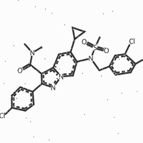 CN(C)C(=O)c1c(-c2ccc(Cl)cc2)nn2cc(N(Cc3ccc(Br)c(Cl)c3)S(C)(=O)=O)c(C3CC3)cc12